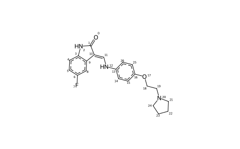 O=C1Nc2ccc(F)cc2/C1=C\Nc1ccc(OCCN2CCCC2)cc1